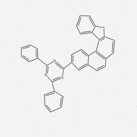 c1ccc(-c2nc(-c3ccccc3)nc(-c3ccc4c(ccc5ccc6sc7ccccc7c6c54)c3)n2)cc1